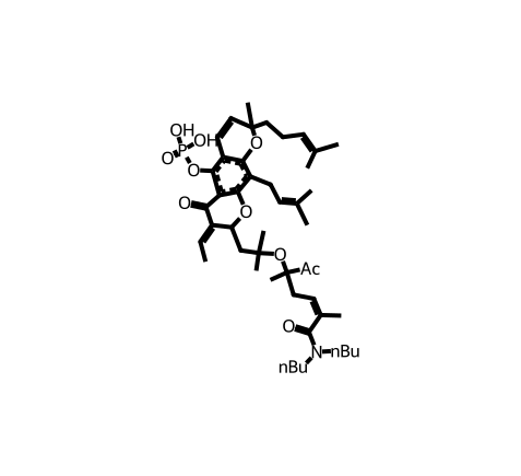 C/C=C1/C(=O)c2c(OP(=O)(O)O)c3c(c(CC=C(C)C)c2OC1CC(C)(C)OC(C)(C/C=C(/C)C(=O)N(CCCC)CCCC)C(C)=O)OC(C)(CCC=C(C)C)C=C3